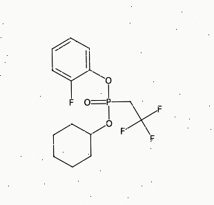 O=P(CC(F)(F)F)(Oc1ccccc1F)OC1CCCCC1